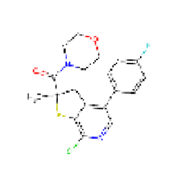 CC1(C(=O)N2CCOCC2)Cc2c(-c3ccc(F)cc3)cnc(Cl)c2S1